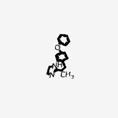 CC(Cc1ccc(Oc2ccccc2)cc1)C1=NCCN1